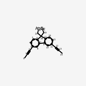 CC#Cc1ccc2c(c1)-c1cc(C#CC)ccc1C2(COC(C)=O)COC(C)=O